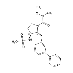 CON(C)C(=O)N1CC[C@H](NS(C)(=O)=O)[C@@H]1Cc1cccc(-c2ccccc2)c1